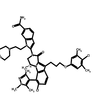 Cc1cc(OCCCc2c3n(c4c(-c5c(C)nn(C)c5C)c(Cl)ccc24)[C@H](C)CN(c2cc4ccc(C(N)=O)cc4n2CCN2CCOCC2)C3=O)cc(C)c1Cl